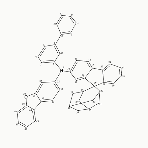 c1ccc(-c2cccc(N(c3ccc4c(c3)C3(c5ccccc5-4)C4CC5CC(C4)CC3C5)c3ccc4c(c3)oc3ccccc34)c2)cc1